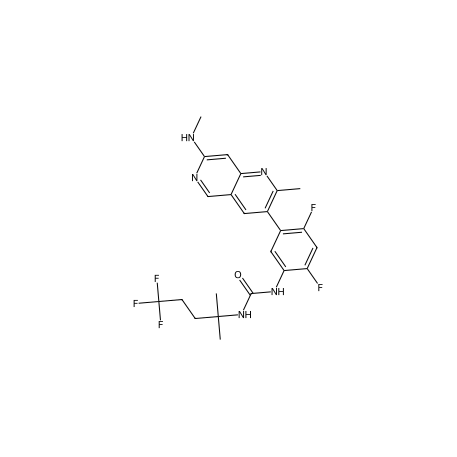 CNc1cc2nc(C)c(-c3cc(NC(=O)NC(C)(C)CCC(F)(F)F)c(F)cc3F)cc2cn1